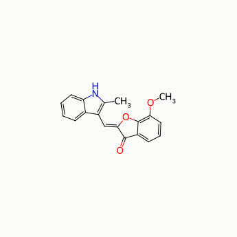 COc1cccc2c1O/C(=C\c1c(C)[nH]c3ccccc13)C2=O